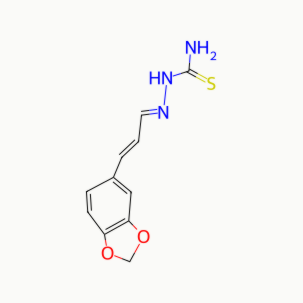 NC(=S)NN=CC=Cc1ccc2c(c1)OCO2